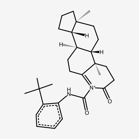 CC(C)(C)c1ccccc1NC(=O)[N+]1=C2CC[C@H]3[C@@H]4CCC[C@@]4(C)CC[C@@H]3[C@@]2(C)CCC1=O